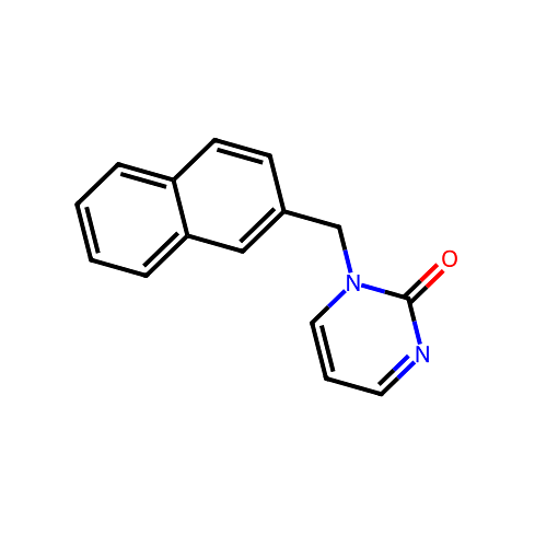 O=c1ncccn1Cc1ccc2ccccc2c1